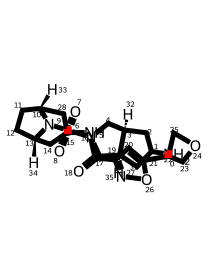 NC1C[C@@H]2CN(S(=O)(=O)N3[C@@H]4CC[C@H]3CC(NC(=O)c3cc(C5COC5)on3)C4)C[C@@H]2C1